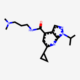 CC(C)n1ncc2c(C(=O)NCCCN(C)C)cc(C3CC3)nc21